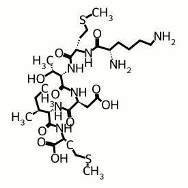 CC[C@H](C)[C@H](NC(=O)[C@H](CC(=O)O)NC(=O)[C@@H](NC(=O)[C@H](CCSC)NC(=O)[C@@H](N)CCCCN)[C@@H](C)O)C(=O)N[C@@H](CCSC)C(=O)O